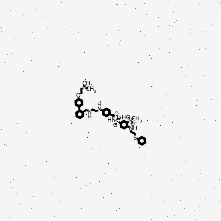 CN(C)CCOc1ccc(-c2ccccc2CNCCNc2ccc(C(=O)NS(=O)(=O)c3ccc(NCCSc4ccccc4)c([N+](C)([O-])O)c3)cc2)cc1